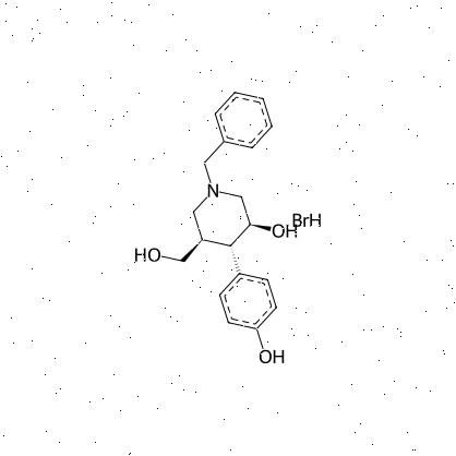 Br.OC[C@H]1CN(Cc2ccccc2)C[C@@H](O)[C@@H]1c1ccc(O)cc1